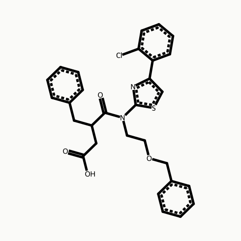 O=C(O)CC(Cc1ccccc1)C(=O)N(CCOCc1ccccc1)c1nc(-c2ccccc2Cl)cs1